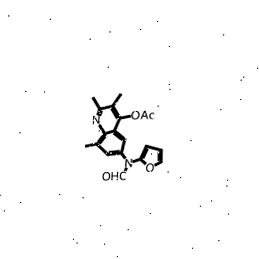 CC(=O)Oc1c(C)c(C)nc2c(C)cc(N(C=O)c3ccco3)cc12